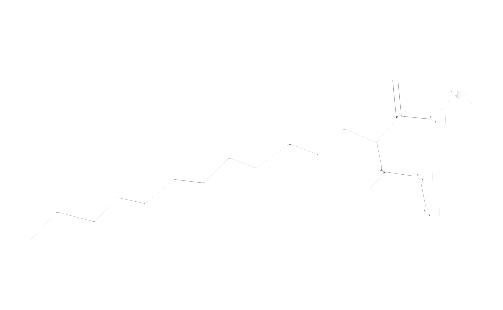 CCCCCCCCCCCCC(C(=O)NN)C(=O)NN